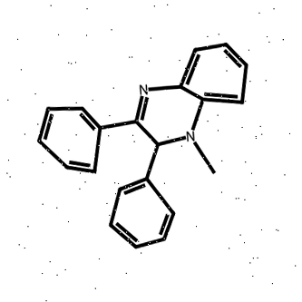 CN1c2ccccc2N=C(c2ccccc2)C1c1ccccc1